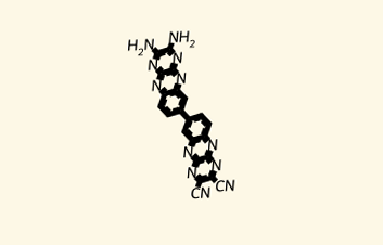 N#Cc1nc2nc3ccc(-c4ccc5nc6nc(N)c(N)nc6nc5c4)cc3nc2nc1C#N